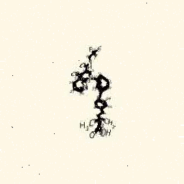 CC(C)(CCc1ccc(-c2cccc(-n3cc(C(=O)NCC(F)(F)F)c(=O)c4cccnc43)c2)cc1)C(=O)O